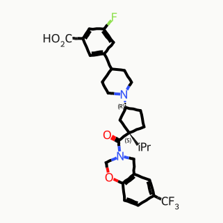 CC(C)[C@]1(C(=O)N2COc3ccc(C(F)(F)F)cc3C2)CC[C@@H](N2CCC(c3cc(F)cc(C(=O)O)c3)CC2)C1